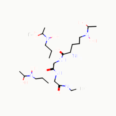 CC(O)N(O)CCC[C@H](NC(=O)[C@H](CCCN(O)C(C)O)NC(=O)[C@@H](N)CCCN(O)C(C)O)C(=O)NCC=O.[Fe]